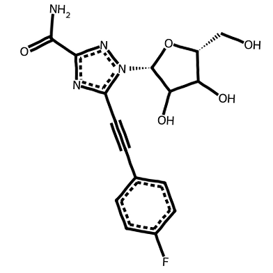 NC(=O)c1nc(C#Cc2ccc(F)cc2)n([C@@H]2O[C@H](CO)C(O)C2O)n1